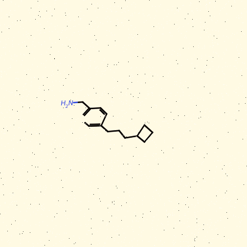 C=C(/C=C\C(=C/C)CCCC1CCC1)CN